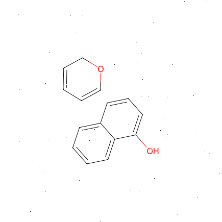 C1=CCOC=C1.Oc1cccc2ccccc12